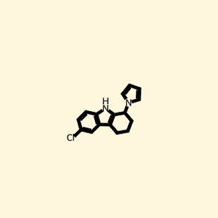 Clc1ccc2[nH]c3c(c2c1)CCCC3n1cccc1